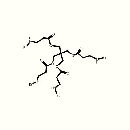 CCNCCC(=O)OCC(COC(=O)CCNCC)(COC(=O)CCNCC)COC(=O)CCNCC